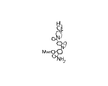 COc1cc(N2CCOc3cc(C(=O)N4CCC(C)(F)CC4)ccc32)ccc1C(N)=O